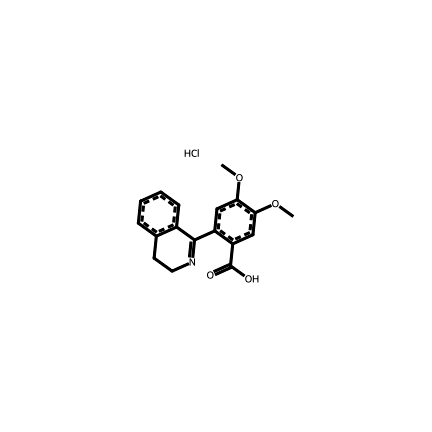 COc1cc(C(=O)O)c(C2=NCCc3ccccc32)cc1OC.Cl